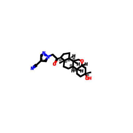 C[C@@]1(O)CC[C@@H]2[C@H]3CC[C@]4(C)[C@@H](C(=O)Cn5cc(C#N)cn5)CC[C@H]4[C@@H]3CO[C@@H]2C1